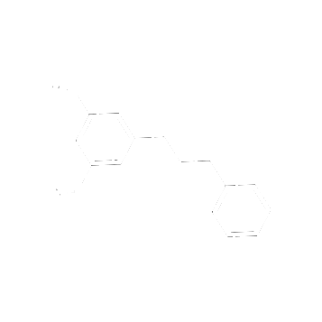 COc1cc([CH]CCc2ccccc2)cc(OC)c1